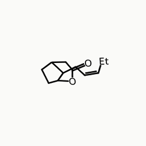 CC/C=C\CC1C2CCC1OC(=O)C2